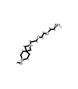 CSN1CCC2(CC1)CN(CCOCCOCCN)C2